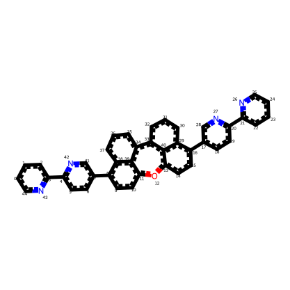 c1ccc(-c2ccc(-c3ccc4oc5ccc(-c6ccc(-c7ccccn7)nc6)c6cccc(c7cccc3c47)c56)cn2)nc1